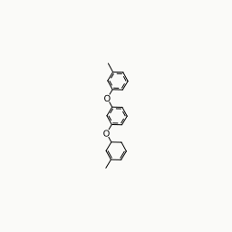 CC1=CC(Oc2cccc(Oc3cccc(C)c3)c2)CC=C1